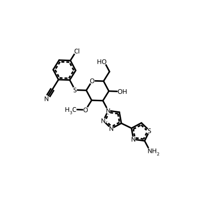 COC1C(Sc2cc(Cl)ccc2C#N)OC(CO)C(O)C1n1cc(-c2csc(N)n2)nn1